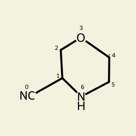 N#CC1CO[CH]CN1